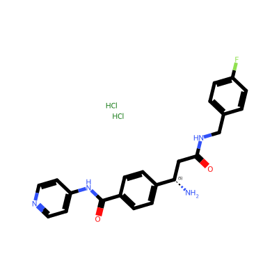 Cl.Cl.N[C@@H](CC(=O)NCc1ccc(F)cc1)c1ccc(C(=O)Nc2ccncc2)cc1